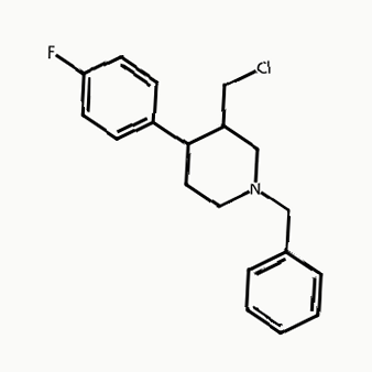 Fc1ccc(C2CCN(Cc3ccccc3)CC2CCl)cc1